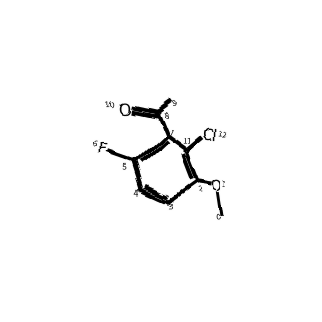 COc1ccc(F)c(C(C)=O)c1Cl